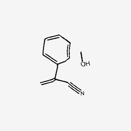 C=C(C#N)c1ccccc1.CO